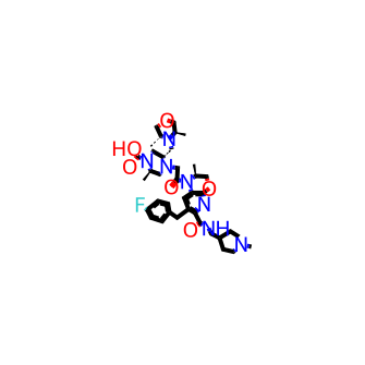 C[C@@H]1CN(CC(=O)N2c3cc(Cc4ccc(F)cc4)c(C(=O)NCC4CCN(C)CC4)nc3OC[C@@H]2C)[C@@H](CN2[C@H](C)COC[C@H]2C)CN1C(=O)O